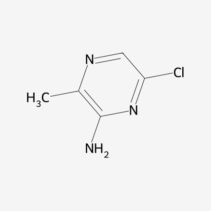 Cc1ncc(Cl)nc1N